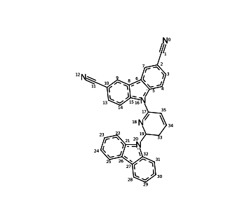 N#Cc1ccc2c(c1)c1cc(C#N)ccc1n2C1=NC(n2c3ccccc3c3ccccc32)CC=C1